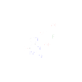 Nc1nc2c(ccn2[C@@H]2O[C@H](CO)C(F)C2O)c(=O)[nH]1